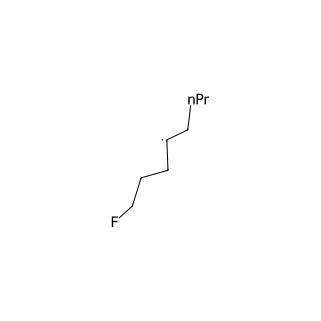 CCCC[CH]CCCF